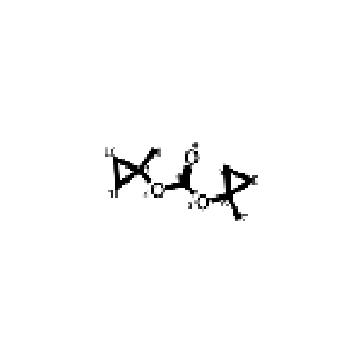 CC1(OC(=O)OC2(C)CC2)CC1